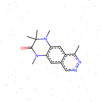 Cc1nncc2cc3c(cc12)N(C)C(C)(C)C(=O)N3C